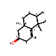 CC1CC[C@]2(C)CC(=O)CC=C2C1(C)C